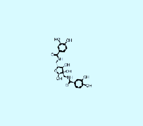 O=C(NC[C@H]1OC(O)[C@@](O)(CNC(=O)c2ccc(O)c(O)c2)[C@@H]1O)c1ccc(O)c(O)c1